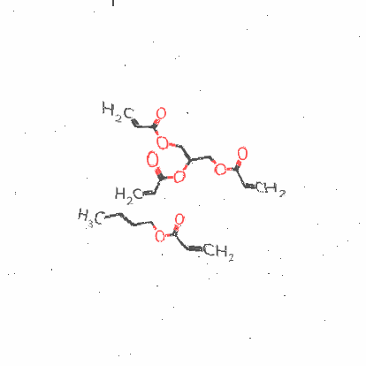 C=CC(=O)OCC(COC(=O)C=C)OC(=O)C=C.C=CC(=O)OCCCC